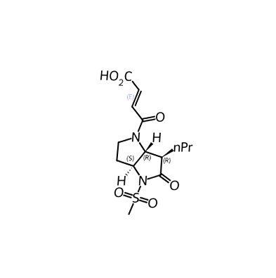 CCC[C@H]1C(=O)N(S(C)(=O)=O)[C@H]2CCN(C(=O)/C=C/C(=O)O)[C@H]12